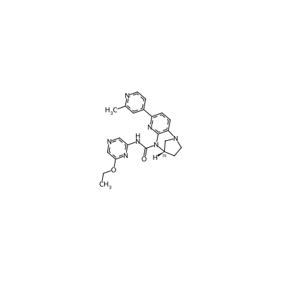 CCOc1cncc(NC(=O)N2c3nc(-c4ccnc(C)c4)ccc3N3CC[C@H]2C3)n1